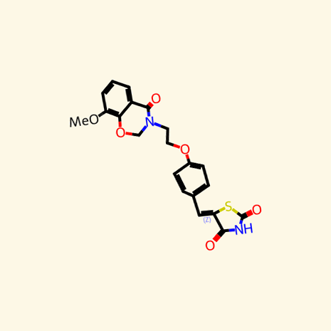 COc1cccc2c1OCN(CCOc1ccc(/C=C3\SC(=O)NC3=O)cc1)C2=O